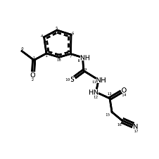 CC(=O)c1cccc(NC(=S)NNC(=O)CC#N)c1